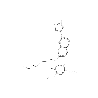 COc1cc(OC)c(F)c(N(C/C=N/CCC=N)c2ccc3ncc(-c4cnn(C)c4)cc3n2)c1F